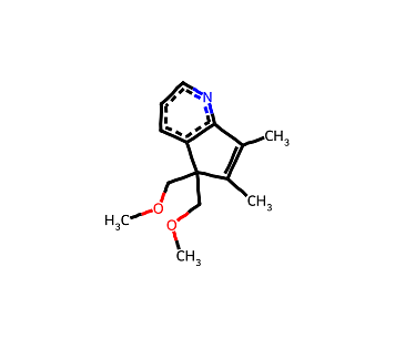 COCC1(COC)C(C)=C(C)c2ncccc21